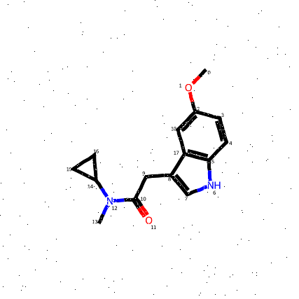 COc1ccc2[nH]cc(CC(=O)N(C)C3CC3)c2c1